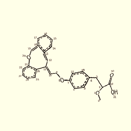 COC(Cc1ccc(OCC=C2C=c3ccccc3=COc3ccccc32)cc1)C(=O)O